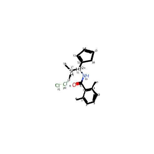 Cc1cccc(C)c1C(=O)[NH][Hf+2]([C]1=CC=CC1)[SiH](C)C.[Cl-].[Cl-]